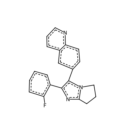 Fc1ccccc1-c1nc2n(c1-c1ccc3ncccc3c1)CCC2